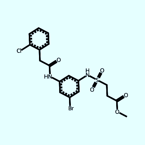 COC(=O)CCS(=O)(=O)Nc1cc(Br)cc(NC(=O)Cc2ccccc2Cl)c1